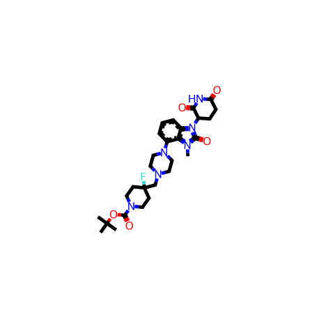 Cn1c(=O)n(C2CCC(=O)NC2=O)c2cccc(N3CCN(CC4(F)CCN(C(=O)OC(C)(C)C)CC4)CC3)c21